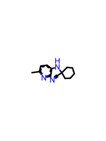 Cc1ccc(NC2(C#N)CCCCC2)cn1